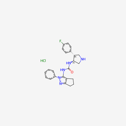 Cl.O=C(Nc1c2c(nn1-c1ccccc1)CCC2)N[C@@H]1CNC[C@H]1c1ccc(F)cc1